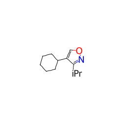 CC(C)c1nocc1C1CCCCC1